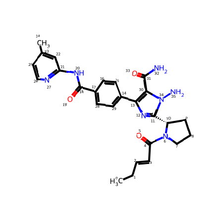 CC/C=C/C(=O)N1CCC[C@H]1c1nc(-c2ccc(C(=O)Nc3cc(C)ccn3)cc2)c(C(N)=O)n1N